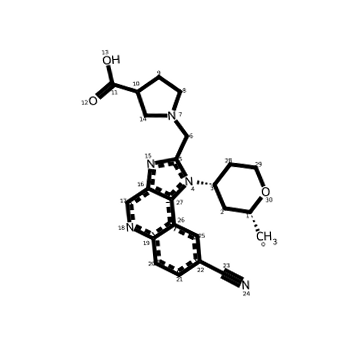 C[C@@H]1C[C@H](n2c(CN3CCC(C(=O)O)C3)nc3cnc4ccc(C#N)cc4c32)CCO1